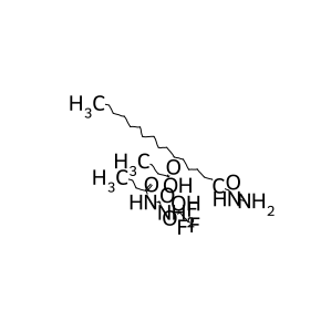 CCCC(=O)NC(N)=O.CCCC(=O)O.CCCCCCCCCCCCCCCCCC(=O)NN.O=C(O)C(F)(F)F